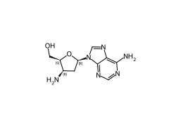 Nc1ncnc2c1ncn2[C@H]1C[C@@H](N)[C@@H](CO)O1